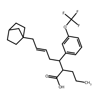 CCCC(C(=O)O)C(CC=CCC12CCC(CC1)C2)c1cccc(OC(F)(F)F)c1